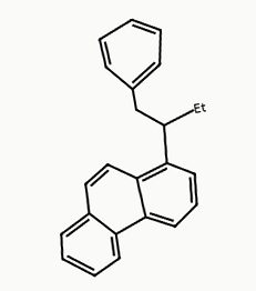 [CH2]CC(Cc1ccccc1)c1cccc2c1ccc1ccccc12